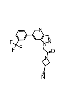 N#CC1CN(C(=O)Cn2ncc3ncc(-c4cccc(C(F)(F)F)c4)cc32)C1